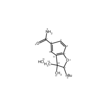 CCCCC1Oc2ccc(C(N)=O)cc2C1(C)C.Cl